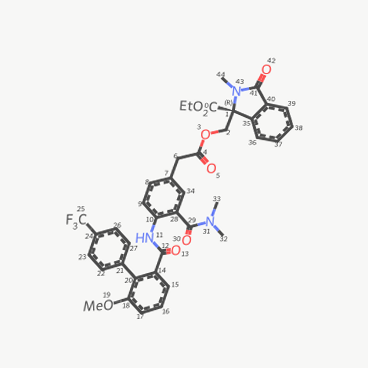 CCOC(=O)[C@]1(COC(=O)Cc2ccc(NC(=O)c3cccc(OC)c3-c3ccc(C(F)(F)F)cc3)c(C(=O)N(C)C)c2)c2ccccc2C(=O)N1C